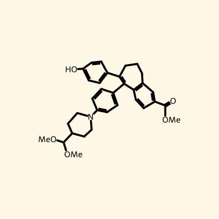 COC(=O)c1ccc2c(c1)CCCC(c1ccc(O)cc1)=C2c1ccc(N2CCC(C(OC)OC)CC2)cc1